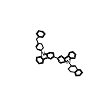 C1=C(Cc2ccccc2)CCC(n2c3ccccc3c3cc(-c4ccc5c(c4)c4ccccc4n5C4=Cc5ccccc5CC4)ccc32)=C1